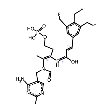 C/C(=C(CCOP(=O)(O)O)/[SH]=C(O)\C=C\c1cc(CF)c(CF)c(CF)c1)N(C=O)Cc1cnc(C)nc1N